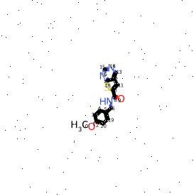 COc1ccc(CNC(=O)c2cc3cncnc3s2)cc1